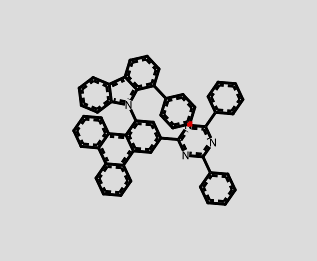 c1ccc(-c2nc(-c3ccccc3)nc(-c3cc(-n4c5ccccc5c5cccc(-c6ccccc6)c54)c4c5ccccc5c5ccccc5c4c3)n2)cc1